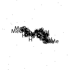 COC(=O)N[C@H](C(=O)N1CCC[C@H]1C(=O)Nc1nc([C@@H]2CC[C@@H](c3csc(NC(=O)[C@@H]4CCCN4C(=O)[C@@H](NC(=O)OC)[C@@H](C)OC)n3)N2c2ccc(C(C)(C)C)cc2)cs1)[C@@H](C)OC